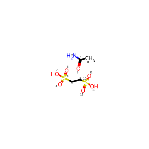 CC(N)=O.O=S(=O)(O)CCS(=O)(=O)O